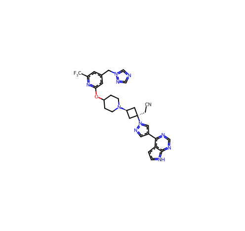 N#CC[C@]1(n2cc(-c3ncnc4[nH]ccc34)cn2)C[C@@H](N2CCC(Oc3cc(Cn4cncn4)cc(C(F)(F)F)n3)CC2)C1